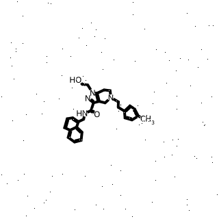 Cc1ccc(CCN2CCc3c(c(C(=O)NCc4cccc5ccccc45)nn3CCO)C2)cc1